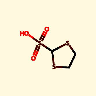 O=S(=O)(O)C1SCCS1